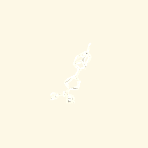 CCN(CC)c1ccc(C2C3CC(C)CC2C3=O)cc1